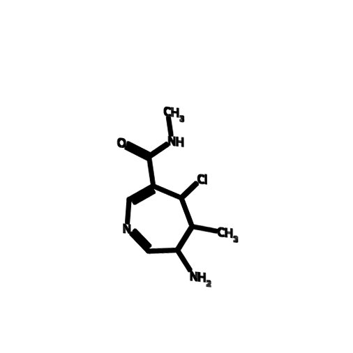 CNC(=O)C1=CN=CC(N)C(C)C1Cl